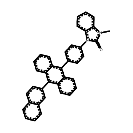 Cn1c(=O)n(-c2ccc(-c3c4ccccc4c(-c4ccc5ccccc5c4)c4ccccc34)cc2)c2ccccc21